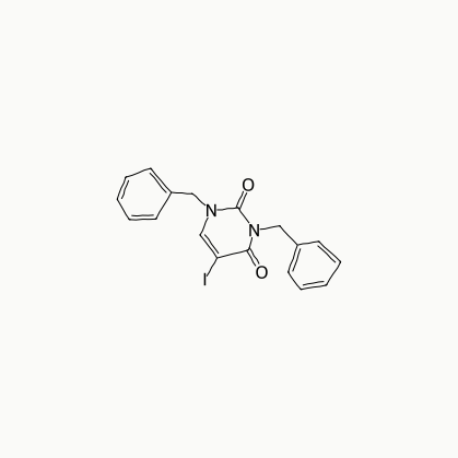 O=c1c(I)cn(Cc2ccccc2)c(=O)n1Cc1ccccc1